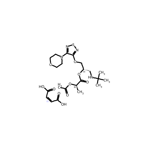 CC(=O)O[C@H](C)C(=O)O[C@@H](CNC(C)(C)C)COc1nsnc1N1CCOCC1.O=C(O)/C=C\C(=O)O